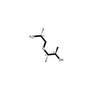 C[C@H](OC[C@@H](C)N)[C@@H](C)O